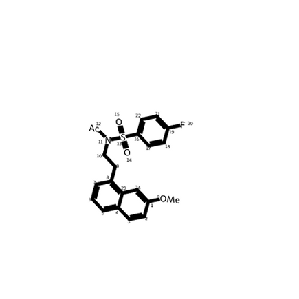 COc1ccc2cccc(CCN(C(C)=O)S(=O)(=O)c3ccc(F)cc3)c2c1